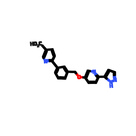 O=C(O)c1ccc(-c2cccc(COc3ccc(-c4ccn[nH]4)nc3)c2)nc1